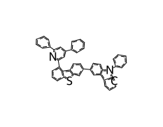 c1ccc(-c2cc(-c3ccccc3)nc(-c3cccc4sc5cc(-c6ccc7c(c6)c6ccccc6n7-c6ccccc6)ccc5c34)c2)cc1